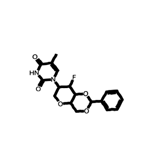 Cc1cn(C2COC3COC(c4ccccc4)OC3C2F)c(=O)[nH]c1=O